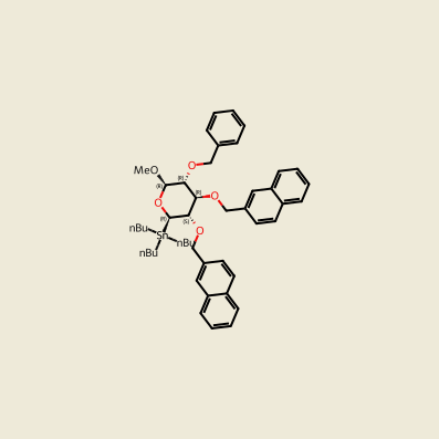 CCC[CH2][Sn]([CH2]CCC)([CH2]CCC)[C@H]1O[C@@H](OC)[C@H](OCc2ccccc2)[C@@H](OCc2ccc3ccccc3c2)[C@@H]1OCc1ccc2ccccc2c1